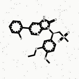 CCOc1cc([C@H](CS(C)(=O)=O)n2c(=O)[nH]c3cc(-c4ccccc4F)cnc32)ccc1OC